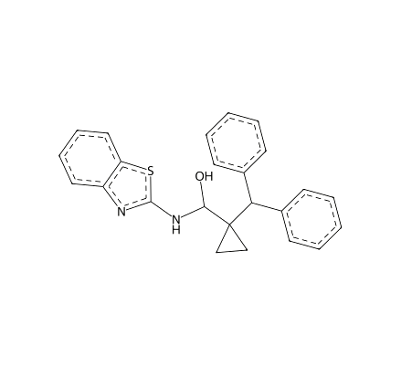 OC(Nc1nc2ccccc2s1)C1(C(c2ccccc2)c2ccccc2)CC1